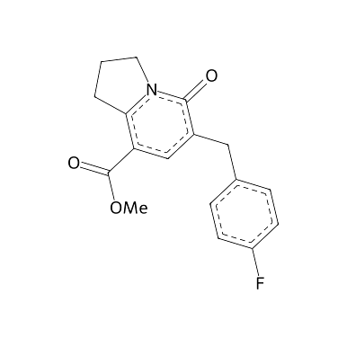 COC(=O)c1cc(Cc2ccc(F)cc2)c(=O)n2c1CCC2